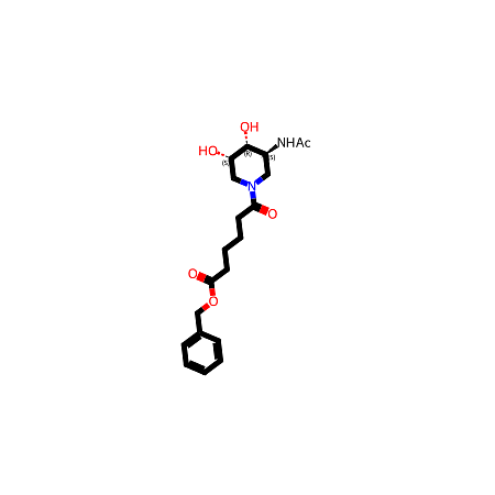 CC(=O)N[C@H]1CN(C(=O)CCCCC(=O)OCc2ccccc2)C[C@H](O)[C@@H]1O